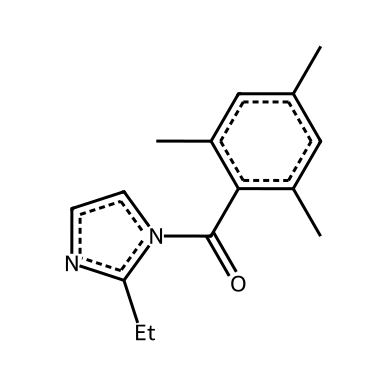 CCc1nccn1C(=O)c1c(C)cc(C)cc1C